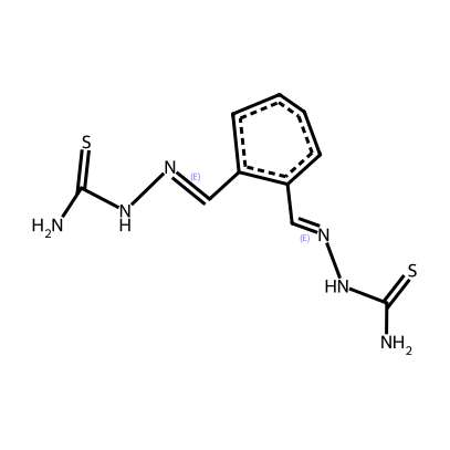 NC(=S)N/N=C/c1ccccc1/C=N/NC(N)=S